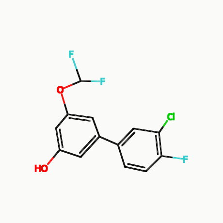 Oc1cc(OC(F)F)cc(-c2ccc(F)c(Cl)c2)c1